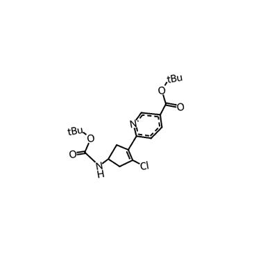 CC(C)(C)OC(=O)NC1CC(Cl)=C(c2ccc(C(=O)OC(C)(C)C)cn2)C1